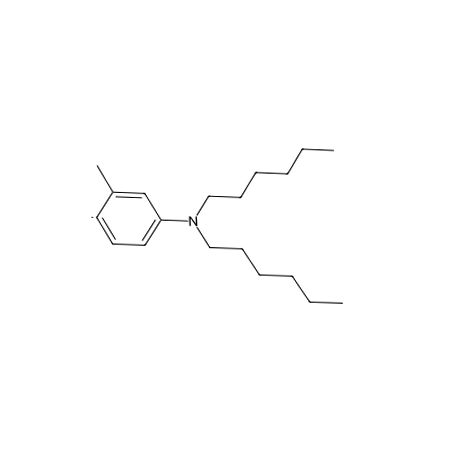 CCCCCCN(CCCCCC)c1cc[c]c(C)c1